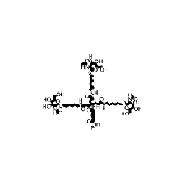 CC(=O)NC1C(OCCCCCCNC(=O)CCC(CCC(=O)NCCCCCCOC2OC(CO)C(O)C(O)C2NC(C)=O)(CCC(=O)NCCCCCCOC2OC(CO)C(O)C(O)C2NC(C)=O)NC(=O)CCCC(=O)NI)OC(CO)C(O)C1O